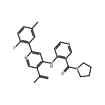 C=C(C)c1cnc(-c2cc(C)ccc2F)cc1Nc1ccncc1C(=O)N1CCCC1